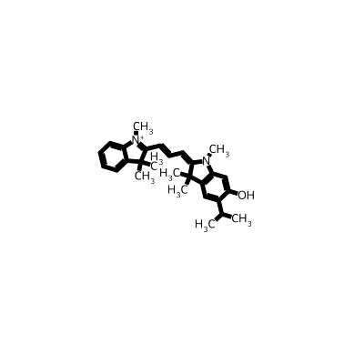 CC(C)c1cc2c(cc1O)N(C)/C(=C/C=C/C1=[N+](C)c3ccccc3C1(C)C)C2(C)C